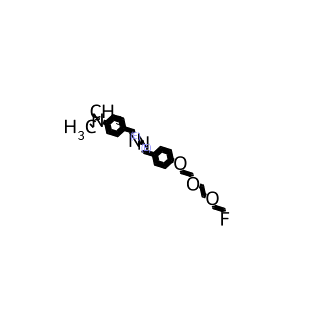 CN(C)c1ccc(/C=N/N=C/c2ccc(OCCOCCOCCF)cc2)cc1